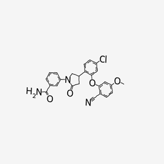 COc1ccc(C#N)c(Oc2cc(Cl)ccc2C2CC(=O)N(c3cccc(C(N)=O)c3)C2)c1